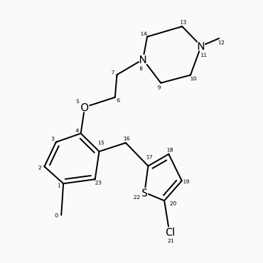 Cc1ccc(OCCN2CCN(C)CC2)c(Cc2ccc(Cl)s2)c1